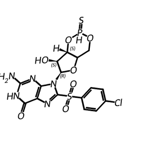 Nc1nc2c(nc(S(=O)(=O)c3ccc(Cl)cc3)n2[C@@H]2OC3CO[PH](=S)O[C@H]3[C@@H]2O)c(=O)[nH]1